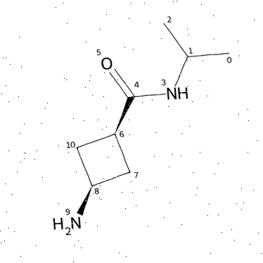 CC(C)NC(=O)[C@H]1C[C@@H](N)C1